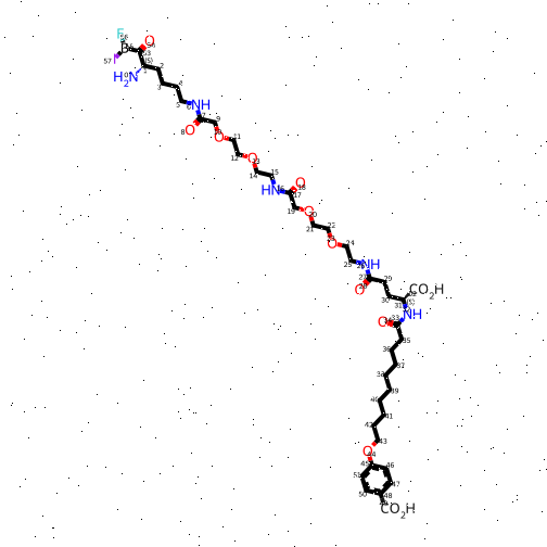 N[C@@H](CCCCNC(=O)COCCOCCNC(=O)COCCOCCNC(=O)CC[C@H](NC(=O)CCCCCCCCCOc1ccc(C(=O)O)cc1)C(=O)O)C(=O)B(F)I